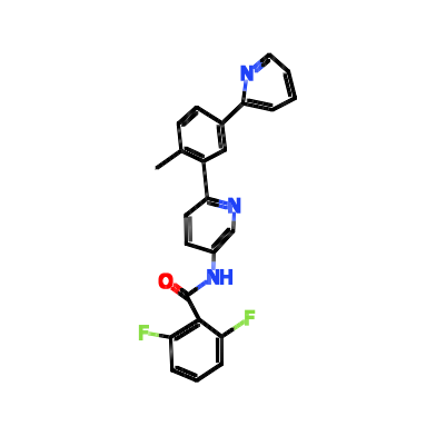 Cc1ccc(-c2ccccn2)cc1-c1ccc(NC(=O)c2c(F)cccc2F)cn1